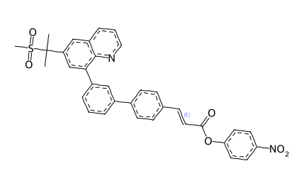 CC(C)(c1cc(-c2cccc(-c3ccc(/C=C/C(=O)Oc4ccc([N+](=O)[O-])cc4)cc3)c2)c2ncccc2c1)S(C)(=O)=O